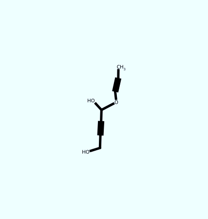 CC#COC(O)C#CCO